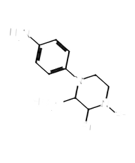 CCC1C(C(=O)O)N(c2ccc(N)cc2)CCN1CC